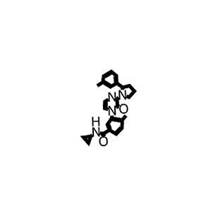 Cc1cccc(C2CCCN2c2nccn(-c3cc(C(=O)NC4CC4)ccc3C)c2=O)c1